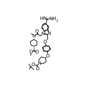 COC(=O)[C@H]1CC[C@H](N(C)C(=O)Cn2c(COc3ccc(OC4CCN(C(=O)OC(C)(C)C)CC4)cc3)nc3cc(C(=N)N)ccc32)CC1